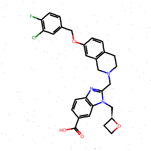 O=C(O)c1ccc2nc(CN3CCc4ccc(OCc5ccc(F)c(Cl)c5)cc4C3)n(C[C@@H]3CCO3)c2c1